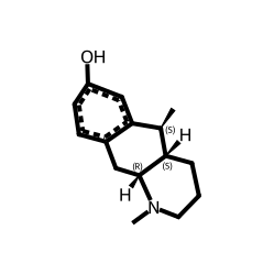 C[C@@H]1c2cc(O)ccc2C[C@@H]2[C@H]1CCCN2C